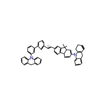 CC1(C)c2cc(/C=C/c3cccc(-c4cccc(N5c6ccccc6Cc6ccccc65)c4)c3)ccc2C2C=CC(N3C4=C(C#CCC4)Cc4ccccc43)=CC21